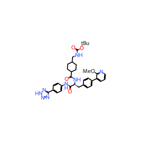 COc1ncccc1-c1ccc(C[C@H](NC(=O)C2CCC(CNC(=O)OC(C)(C)C)CC2)C(=O)Nc2ccc(-c3nn[nH]n3)cc2)cc1